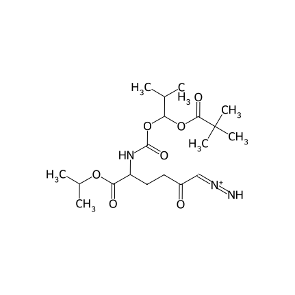 CC(C)OC(=O)C(CCC(=O)C=[N+]=N)NC(=O)OC(OC(=O)C(C)(C)C)C(C)C